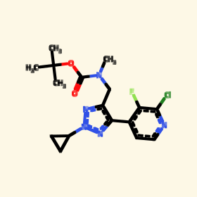 CN(Cc1nn(C2CC2)nc1-c1ccnc(Cl)c1F)C(=O)OC(C)(C)C